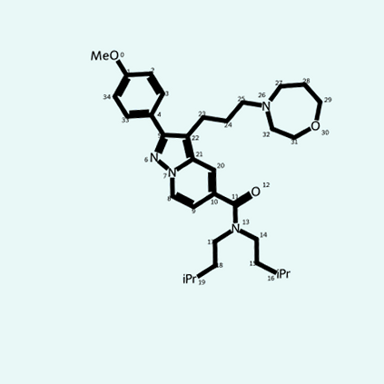 COc1ccc(-c2nn3ccc(C(=O)N(CCC(C)C)CCC(C)C)cc3c2CCCN2CCCOCC2)cc1